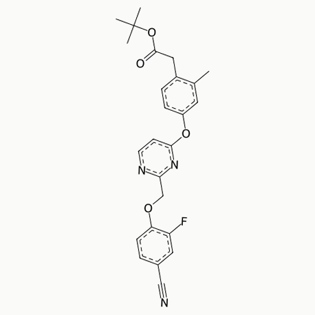 Cc1cc(Oc2ccnc(COc3ccc(C#N)cc3F)n2)ccc1CC(=O)OC(C)(C)C